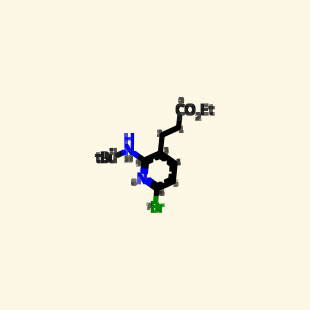 CCOC(=O)CCc1ccc(Br)nc1NC(C)(C)C